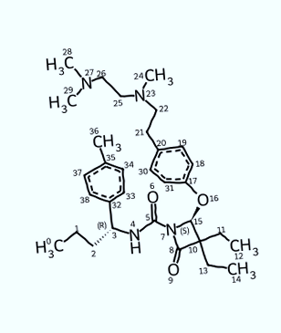 CCC[C@@H](NC(=O)N1C(=O)C(CC)(CC)[C@@H]1Oc1ccc(CCN(C)CCN(C)C)cc1)c1ccc(C)cc1